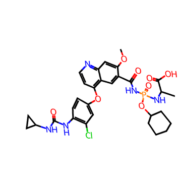 COc1cc2nccc(Oc3ccc(NC(=O)NC4CC4)c(Cl)c3)c2cc1C(=O)NP(=O)(NC(C)C(=O)O)OC1CCCCC1